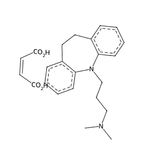 CN(C)CCCN1c2ccccc2CCc2ccccc21.O=C(O)/C=C\C(=O)O